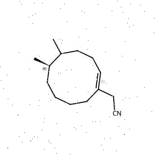 CC1CC/C=C(/CC#N)CCCC[C@H]1C